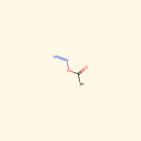 CC(C)C(=O)ON=N